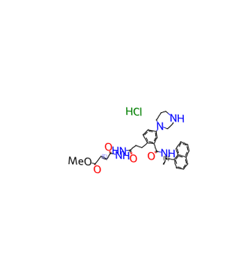 COC(=O)/C=C/C(=O)NNC(=O)CCc1ccc(N2CCCNCC2)cc1C(=O)N[C@H](C)c1cccc2ccccc12.Cl